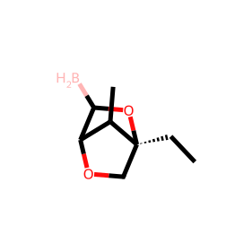 BC1O[C@@]2(CC)COC1C2C